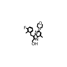 Cc1c(F)cccc1Cc1c(CO)nc2c(C)cc(N3CCOCC3)nn12